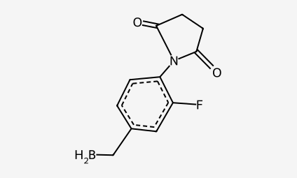 BCc1ccc(N2C(=O)CCC2=O)c(F)c1